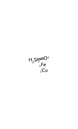 O=[SiH2].[Cu].[Fe]